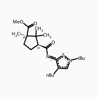 CCCCc1cn(C(C)(C)C)s/c1=N\C(=O)[C@H]1CC[C@@](C)(C(=O)OC)C1(C)C